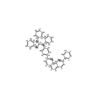 c1ccc(-c2ccc3ccc4ccc(-c5ccc(N6c7ccccc7-c7ccccc7-n7c6nc6ccccc67)cc5)nc4c3n2)cc1